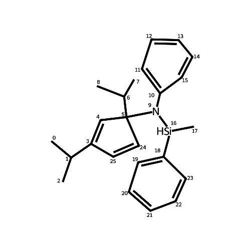 CC(C)C1=CC(C(C)C)(N(c2ccccc2)[SiH](C)c2ccccc2)C=C1